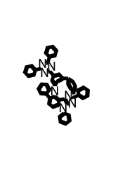 c1ccc(-c2nc(-c3ccccc3)nc(-c3cc4cc(c3)n3c5ccccc5c5ccc6c(c7c(nc(-c8ccccc8)n7c7ccc4cc7)n6-c4ccccc4)c53)n2)cc1